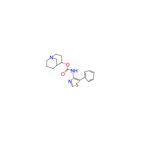 O=C(Nc1ncsc1-c1ccccc1)OC1CCN2CCCC1C2